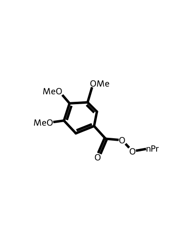 [CH2]CCOOC(=O)c1cc(OC)c(OC)c(OC)c1